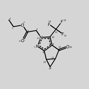 CCOC(=O)Cn1nc2c(c1C(F)(F)F)C(=O)C1CC21